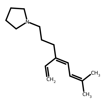 C=C/C(=C\C=C(C)C)CCCN1CCCC1